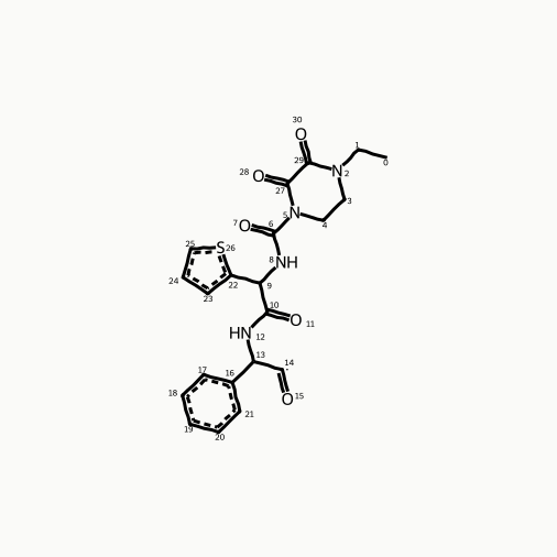 CCN1CCN(C(=O)NC(C(=O)NC([C]=O)c2ccccc2)c2cccs2)C(=O)C1=O